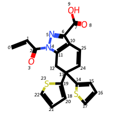 C=CC(=O)n1nc(C(=O)O)c2c1CC(c1cccs1)(c1cccs1)C=C2